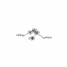 CCCCCC/C=C\CCCCCCCC(=O)NCC[N+](C)(C)CCNC(=O)CCCCCCC/C=C\CCCCCC.CCOS(=O)(=O)[O-]